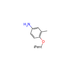 CCCC(C)Oc1ccc(N)cc1C